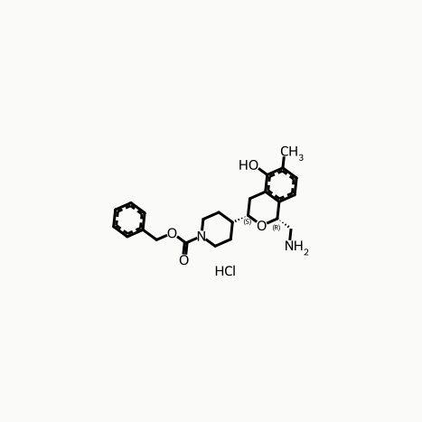 Cc1ccc2c(c1O)C[C@@H](C1CCN(C(=O)OCc3ccccc3)CC1)O[C@H]2CN.Cl